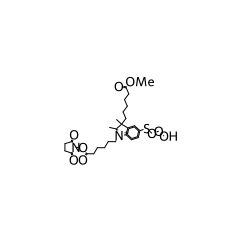 COC(=O)CCCCCC1(C)C(C)=[N+](CCCCCC(=O)ON2C(=O)CCC2=O)c2ccc(SOOO)cc21